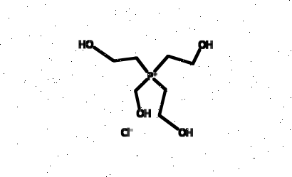 OCC[P+](CO)(CCO)CCO.[Cl-]